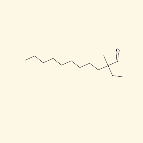 CCCCCCCCCC(C)(C=O)CC